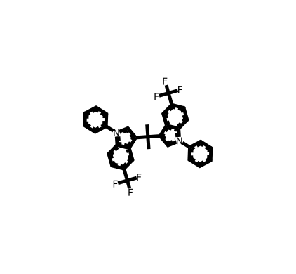 CC(C)(c1cn(-c2ccccc2)c2ccc(C(F)(F)F)cc12)c1cn(-c2ccccc2)c2ccc(C(F)(F)F)cc12